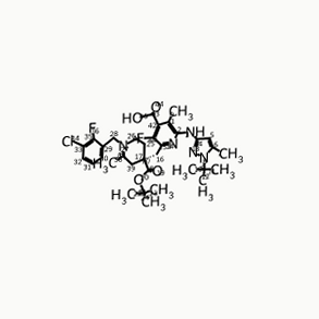 Cc1c(Nc2cc(C)n(C(C)(C)C)n2)nc(C[C@@]2(C(=O)OC(C)(C)C)CCN(Cc3cccc(Cl)c3F)[C@H](C)C2)c(F)c1C(=O)O